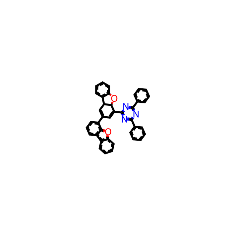 C1=C(c2cccc3c2oc2ccccc23)C=C(c2nc(-c3ccccc3)nc(-c3ccccc3)n2)C2Oc3ccccc3C12